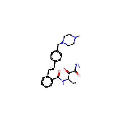 CCCCC(NC(=O)c1ccccc1/C=C/c1ccc(CN2CCN(C)CC2)cc1)C(=O)C(N)=O